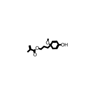 C=C(C)C(=O)OCCCC1(OC)C=CC(O)=CC1